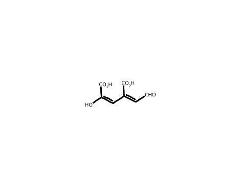 O=C/C=C(/C=C(/O)C(=O)O)C(=O)O